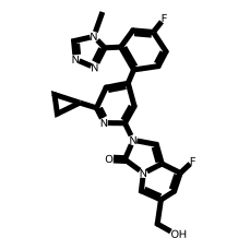 Cn1cnnc1-c1cc(F)ccc1-c1cc(C2CC2)nc(-n2cc3c(F)cc(CO)cn3c2=O)c1